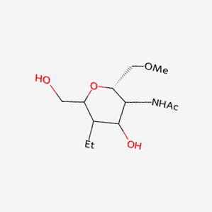 CCC1C(CO)O[C@H](COC)C(NC(C)=O)C1O